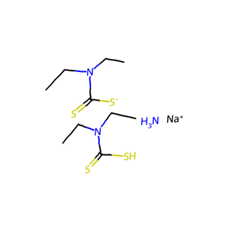 CCN(CC)C(=S)S.CCN(CC)C(=S)[S-].N.[Na+]